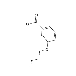 O=C(Cl)c1cccc(OCCCF)c1